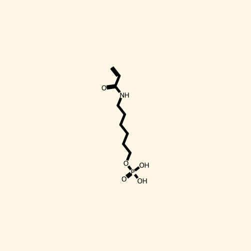 C=CC(=O)NCCCCCCOP(=O)(O)O